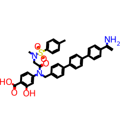 C=C(N)c1ccc(-c2ccc(-c3ccc(CN(C(=O)CN(C)S(=O)(=O)c4ccc(C)cc4)c4ccc(C(=O)O)c(O)c4)cc3)cc2)cc1